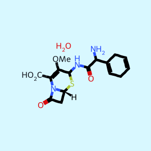 COC1=C(C(=O)O)N2C(=O)C[C@H]2SC1NC(=O)C(N)C1=CCC=CC1.O